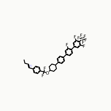 CC/C=C/c1ccc(C(F)(F)OC2CCC(c3ccc(-c4ccc(-c5cc(F)c(S(F)(F)(F)(F)F)c(F)c5)c(F)c4)cc3)CC2)cc1